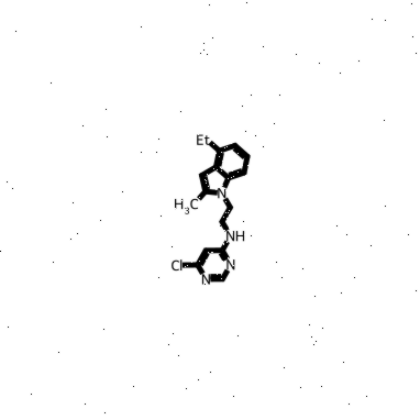 CCc1cccc2c1cc(C)n2CCNc1cc(Cl)ncn1